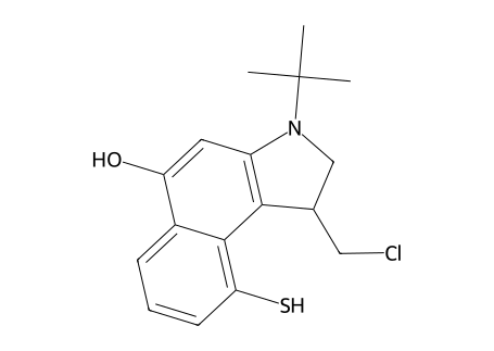 CC(C)(C)N1CC(CCl)c2c1cc(O)c1cccc(S)c21